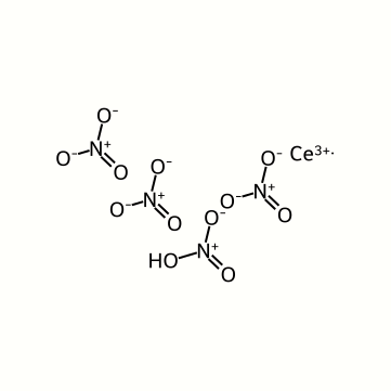 O=[N+]([O-])O.O=[N+]([O-])[O-].O=[N+]([O-])[O-].O=[N+]([O-])[O-].[Ce+3]